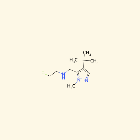 Cn1ncc(C(C)(C)C)c1CNCCF